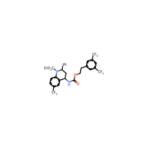 CCOC(=O)N1c2ccc(C(F)(F)F)cc2C(NC(=O)OCCc2cc(C(F)(F)F)cc(C(F)(F)F)c2)CC1C(C)C